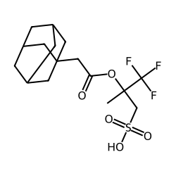 CC(CS(=O)(=O)O)(OC(=O)CC12CC3CC(CC(C3)C1)C2)C(F)(F)F